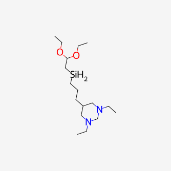 CCOC(C[SiH2]CCCC1CN(CC)CN(CC)C1)OCC